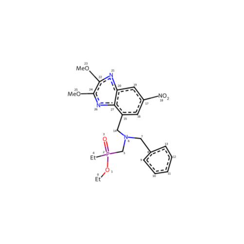 CCOP(=O)(CC)CN(Cc1ccccc1)Cc1cc([N+](=O)[O-])cc2nc(OC)c(OC)nc12